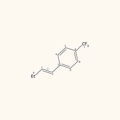 CC/C=C/c1ccc(C(F)(F)F)cc1